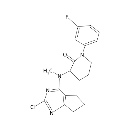 CN(c1nc(Cl)nc2c1CCC2)C1CCCN(c2cccc(F)c2)C1=O